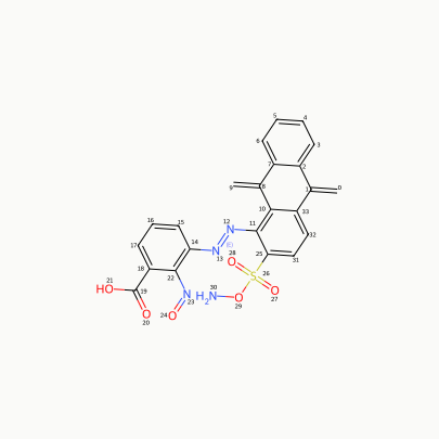 C=c1c2ccccc2c(=C)c2c(/N=N/c3cccc(C(=O)O)c3N=O)c(S(=O)(=O)ON)ccc12